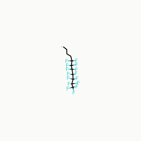 [CH2]CCCC(F)(F)C(F)(F)C(F)(F)C(F)(F)C(F)(F)C(F)(F)C(F)(F)F